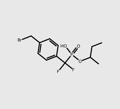 CCC(C)OP(=O)(O)C(F)(F)c1ccc(CBr)cc1